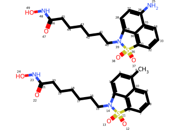 Cc1ccc2c3c(cccc13)S(=O)(=O)N2CCCCCCC(=O)NO.Nc1ccc2c3c(cccc13)S(=O)(=O)N2CCCCCCC(=O)NO